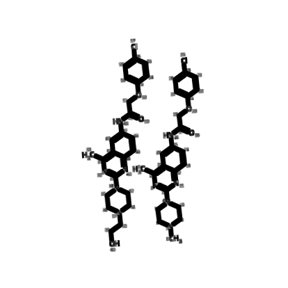 Cc1nc(N2CCN(C)CC2)nc2ccc(NC(=O)COc3ccc(Cl)cc3)cc12.Cc1nc(N2CCN(CCO)CC2)nc2ccc(NC(=O)COc3ccc(Cl)cc3)cc12